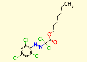 CCCCCCCOC(=O)C(Cl)(Cl)N=Nc1c(Cl)cc(Cl)cc1Cl